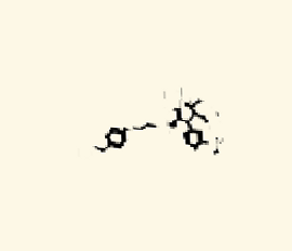 CCC1=C(C(=O)OC)C(c2cccc([N+](=O)[O-])c2)C(C(=O)OCCCOc2ccc(CCO)cc2)=C(C)N1